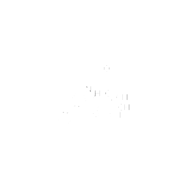 CC1(C)C(C(=O)c2cn(CC3CCOCC3)c3ccc(-c4ccccc4)cc23)C1(C)C